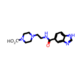 O=C(NCCN1CCN(C(=O)O)CC1)c1ccc2[nH]cnc2c1